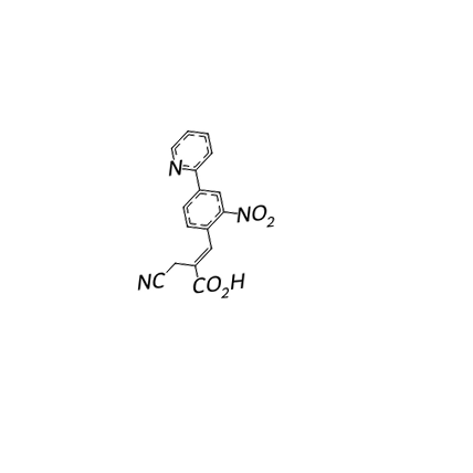 N#CCC(=Cc1ccc(-c2ccccn2)cc1[N+](=O)[O-])C(=O)O